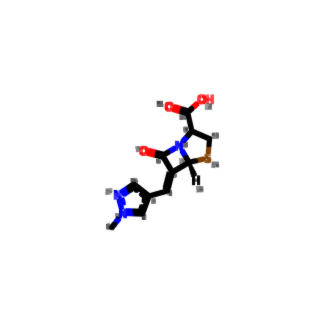 Cn1cc(C=C2C(=O)N3C(C(=O)O)CS[C@H]23)cn1